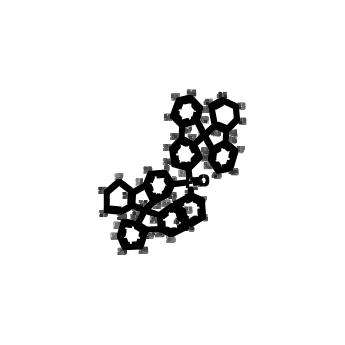 O=P(c1ccccc1)(c1ccc2c(c1)C1(C3=C2CCC=C3)c2ccccc2-c2ccccc21)c1ccc2c(c1)C1(C3=C(CCC=C3)c3ccccc31)c1ccccc1-2